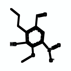 CCCc1c(C=O)cc([N+](=O)[O-])c(OC)c1O